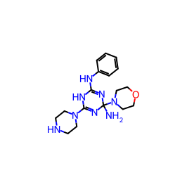 NC1(N2CCOCC2)N=C(Nc2ccccc2)NC(N2CCNCC2)=N1